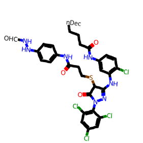 CCCCCCCCCCCCCC(=O)Nc1ccc(Cl)c(NC2=NN(c3c(Cl)cc(Cl)cc3Cl)C(=O)C2SCCC(=O)Nc2ccc(NNC=O)cc2)c1